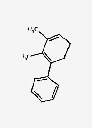 CC1=C[CH]CC(c2ccccc2)=C1C